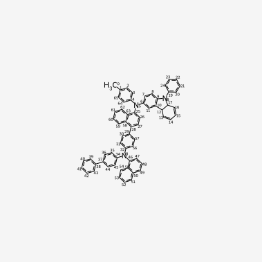 Cc1ccc(N(c2ccc3c(c2)C2C=CC=CC2N3c2ccccc2)c2ccc(-c3ccc(N(c4ccc(-c5ccccc5)cc4)c4cccc5ccccc45)cc3)c3ccccc23)cc1